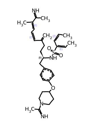 C=C(/C=C\C=C(/C)C(C)=N)CC[C@H](Cc1ccc(OC2CCN(C(C)=N)CC2)cc1)NS(=O)(=O)C(/C=C\C)=C/C